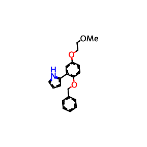 COCCOc1ccc(OCc2ccccc2)c(-c2ccc[nH]2)c1